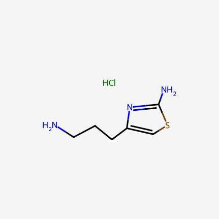 Cl.NCCCc1csc(N)n1